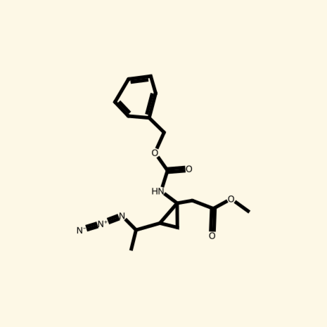 COC(=O)CC1(NC(=O)OCc2ccccc2)CC1C(C)N=[N+]=[N-]